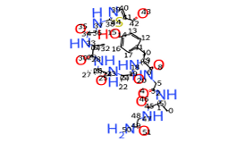 C[C@H](NC(=O)CNC(=O)[C@H](Cc1ccc(O)cc1)NC(=O)[C@H](C)NC(=O)[C@H](C)NC(=O)[C@H](C)NC(=O)CNc1ncc(C=O)s1)C(=O)NCC(N)=O